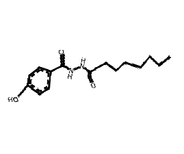 CCCCCCCC(=O)NNC(=O)c1ccc(O)cc1